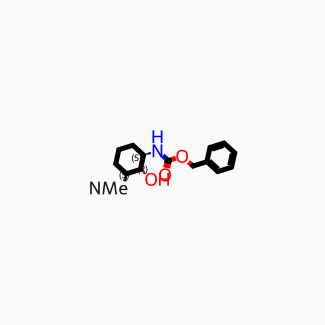 CN[C@H]1CCC[C@H](NC(=O)OCc2ccccc2)[C@@H]1O